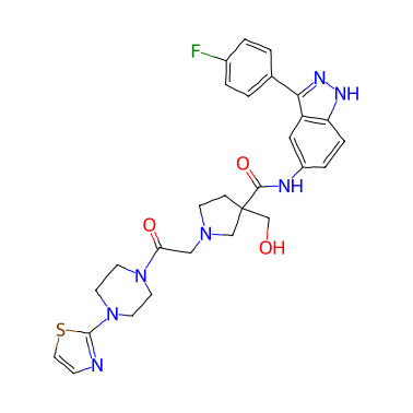 O=C(CN1CCC(CO)(C(=O)Nc2ccc3[nH]nc(-c4ccc(F)cc4)c3c2)C1)N1CCN(c2nccs2)CC1